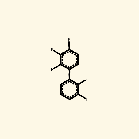 CCc1ccc(-c2cccc(F)c2F)c(F)c1F